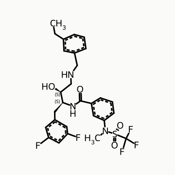 CCc1cccc(CNC[C@H](O)[C@H](Cc2cc(F)cc(F)c2)NC(=O)c2cccc(N(C)S(=O)(=O)C(F)(F)F)c2)c1